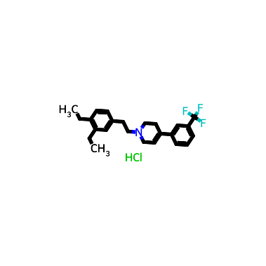 CCc1ccc(CCN2CC=C(c3cccc(C(F)(F)F)c3)CC2)cc1CC.Cl